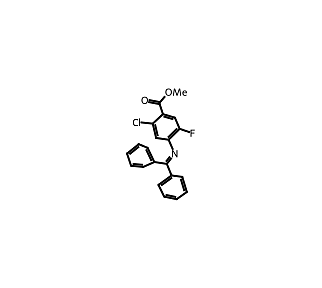 COC(=O)c1cc(F)c(N=C(c2ccccc2)c2ccccc2)cc1Cl